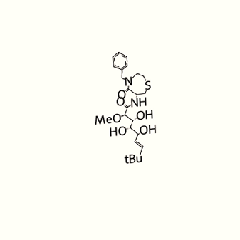 CO[C@@H](C(=O)N[C@H]1CSCCN(Cc2ccccc2)C1=O)[C@H](O)[C@@H](O)[C@H](O)/C=C/C(C)(C)C